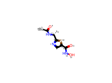 C[C@@H](NC(=O)C(C)(C)C)c1ncc(C(=O)NO)s1